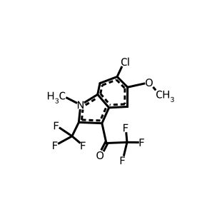 COc1cc2c(C(=O)C(F)(F)F)c(C(F)(F)F)n(C)c2cc1Cl